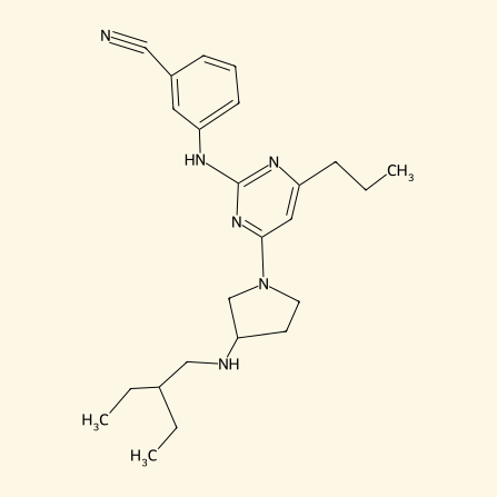 CCCc1cc(N2CCC(NCC(CC)CC)C2)nc(Nc2cccc(C#N)c2)n1